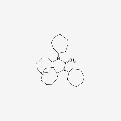 C=C(N(C1CCCCCCC1)C1CCCCCCC1)N(C1CCCCCCC1)C1CCCCCCC1